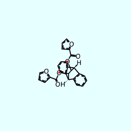 O=C(OC1C(OC(=O)c2ccco2)[C@H]2c3ccccc3[C@H]1c1ccccc12)c1ccco1